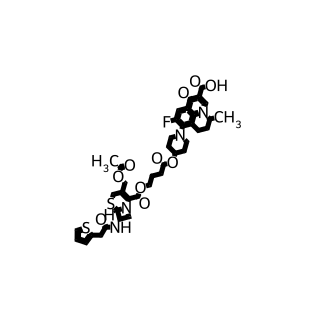 CC(=O)OCC1=C(C(=O)OCCCC(=O)OC2CCN(c3c(F)cc4c(=O)c(C(=O)O)cn5c4c3CCC5C)CC2)N2C[C@H](NC(=O)Cc3cccs3)[C@@H]2SC1